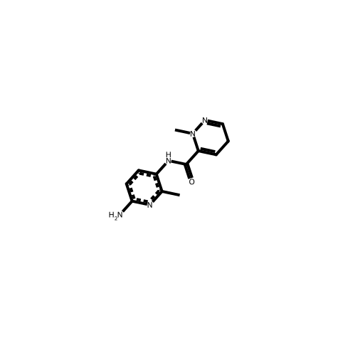 Cc1nc(N)ccc1NC(=O)C1=CCC=NN1C